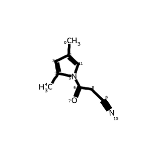 Cc1cc(C)n(C(=O)CC#N)c1